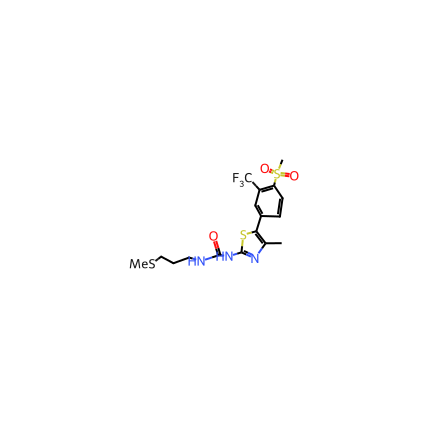 CSCCCNC(=O)Nc1nc(C)c(-c2ccc(S(C)(=O)=O)c(C(F)(F)F)c2)s1